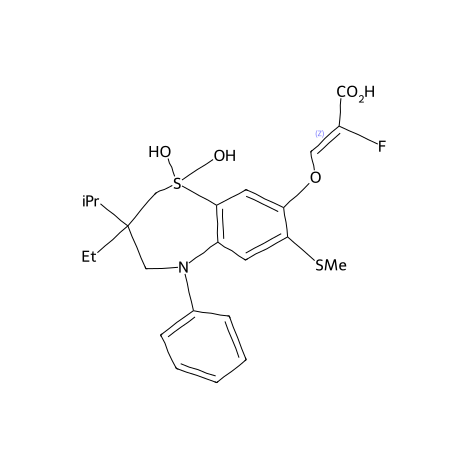 CCC1(C(C)C)CN(c2ccccc2)c2cc(SC)c(O/C=C(\F)C(=O)O)cc2S(O)(O)C1